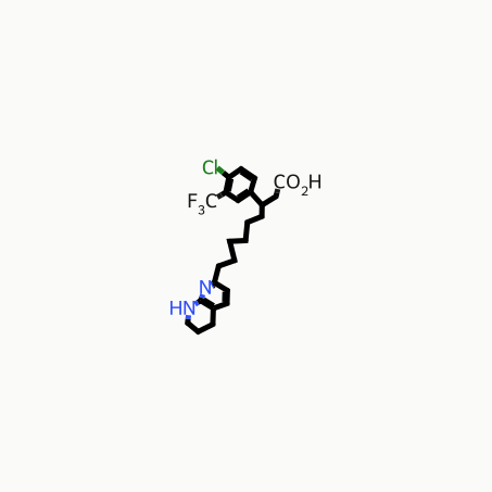 O=C(O)CC(CCCCCCc1ccc2c(n1)NCCC2)c1ccc(Cl)c(C(F)(F)F)c1